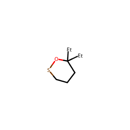 CCC1(CC)CCCSO1